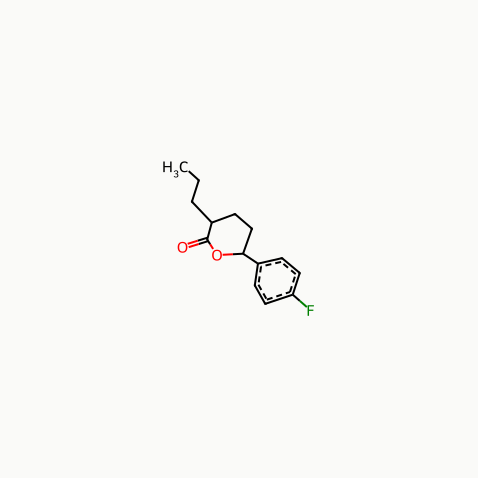 CCCC1CCC(c2ccc(F)cc2)OC1=O